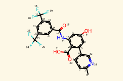 Cc1ccc(-c2cc(O)cc(NC(=O)c3cc(C(F)(F)F)cc(C(F)(F)F)c3)c2C(=O)O)cn1